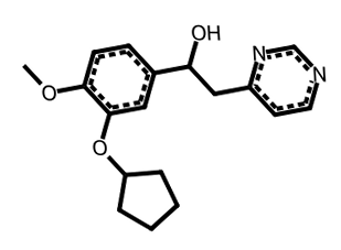 COc1ccc(C(O)Cc2ccncn2)cc1OC1CCCC1